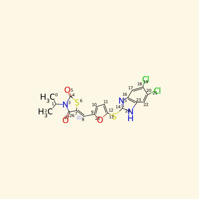 CC(C)N1C(=O)S/C(=C\c2ccc(Sc3nc4cc(Cl)c(Cl)cc4[nH]3)o2)C1=O